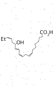 CC/C=C\CC(O)/C=C/C=C\C/C=C\CCCCCCC(=O)O